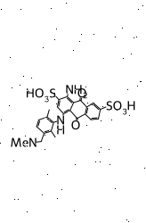 CNCc1ccc(C)c(Nc2cc(S(=O)(=O)O)c(N)c3c2C(=O)c2ccc(S(=O)(=O)O)cc2C3=O)c1C